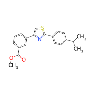 COC(=O)c1cccc(-c2csc(-c3ccc(C(C)C)cc3)n2)c1